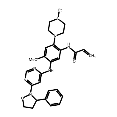 C=CC(=O)Nc1cc(Nc2cc(N3OCCC3c3ccccc3)ncn2)c(OC)cc1N1CCN(CC)CC1